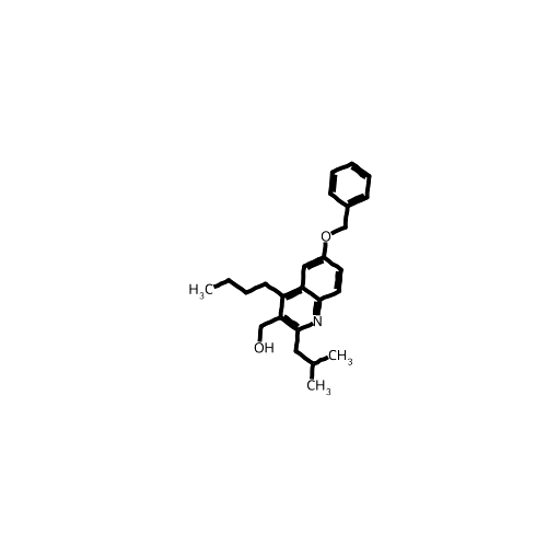 CCCCc1c(CO)c(CC(C)C)nc2ccc(OCc3ccccc3)cc12